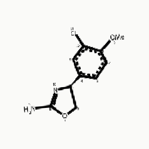 COc1ccc([C@H]2COC(N)=N2)cc1Cl